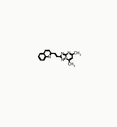 Cc1cc(C)n2nc(C=Cc3ccc4ccccc4n3)nc2n1